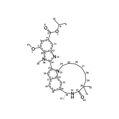 COc1cc(C(=O)OC(C)C)cc2nc(-c3cc4ccc5cc4n3CCCCCCC(C)(C)C(=O)N[C@@H]5C)n(C)c12